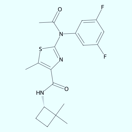 CC(=O)N(c1cc(F)cc(F)c1)c1nc(C(=O)N[C@H]2CCC2(C)C)c(C)s1